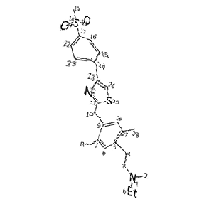 CCN(C)CCc1cc(C)c(Cc2nc(-c3ccc(S(C)(=O)=O)cc3)cs2)cc1C